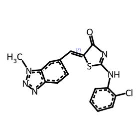 Cn1nnc2ccc(/C=C3\SC(Nc4ccccc4Cl)=NC3=O)cc21